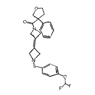 O=C(N1CC(=C2CN(Sc3ccc(OC(F)F)cc3)C2)C1)C1(c2ccccc2)CCOC1